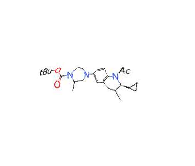 CC(=O)N1c2ccc(N3CCN(C(=O)OC(C)(C)C)C(C)C3)cc2CC(C)[C@@H]1C1CC1